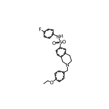 CCOc1ccc(CN2CCc3cc(S(=O)(=O)Nc4ccc(F)cc4)ccc3C2)cc1